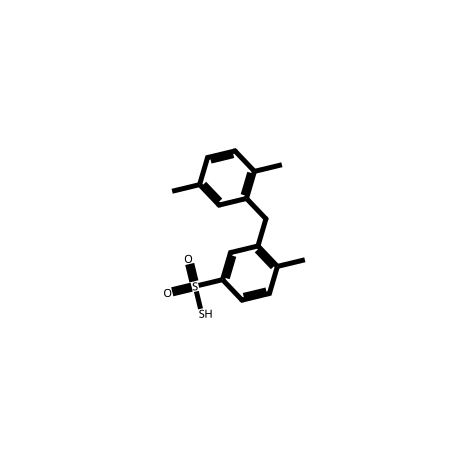 Cc1ccc(C)c(Cc2cc(S(=O)(=O)S)ccc2C)c1